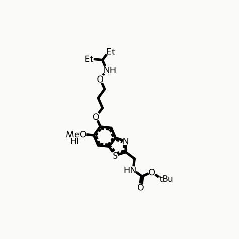 CCC(CC)NOCCCOc1cc2nc(CNC(=O)OC(C)(C)C)sc2cc1OC.I